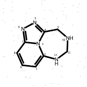 c1cc2n3c(nnc3c1)CNCN2